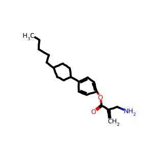 C=C(CN)C(=O)Oc1ccc(C2CCC(CCCCC)CC2)cc1